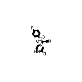 N#CC(N1C=CNC(Cl)=C1)S(=O)(=O)c1ccc(F)cc1